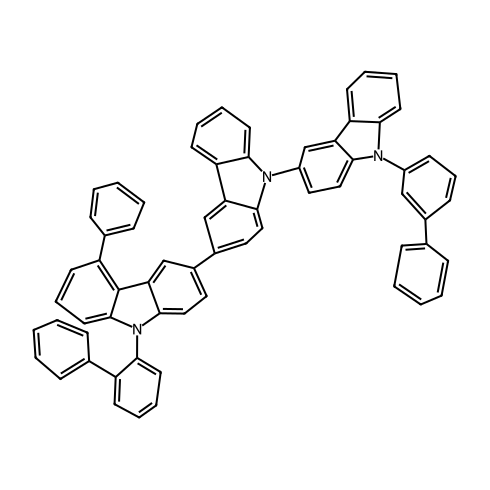 c1ccc(-c2cccc(-n3c4ccccc4c4cc(-n5c6ccccc6c6cc(-c7ccc8c(c7)c7c(-c9ccccc9)cccc7n8-c7ccccc7-c7ccccc7)ccc65)ccc43)c2)cc1